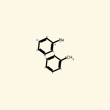 Cc1ccccc1.[Na][c]1ccccc1